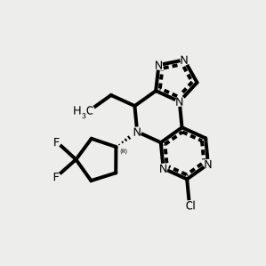 CCC1c2nncn2-c2cnc(Cl)nc2N1[C@@H]1CCC(F)(F)C1